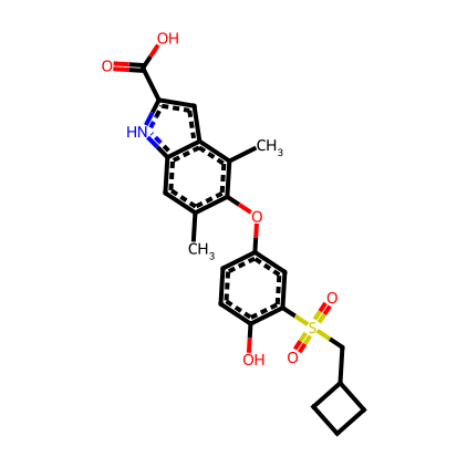 Cc1cc2[nH]c(C(=O)O)cc2c(C)c1Oc1ccc(O)c(S(=O)(=O)CC2CCC2)c1